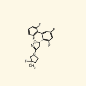 C[C@@]1(F)CCN(C2=NO[C@H](c3c(F)cc(F)cc3-c3c(F)cccc3F)C2)C1